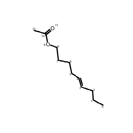 CCC/C=C/CCCCOC(C)=O